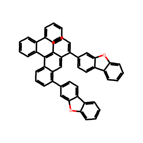 c1ccc(-c2ccccc2-c2c3cccc(-c4ccc5c(c4)oc4ccccc45)c3cc3c(-c4ccc5c(c4)oc4ccccc45)cccc23)cc1